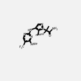 CCCCCC(C)(C(N)=O)n1ncc(Nc2ncc(C(F)(F)F)c(NC)n2)c1C